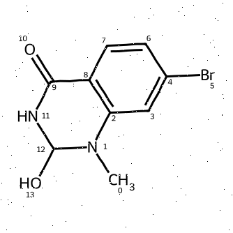 CN1c2cc(Br)ccc2C(=O)NC1O